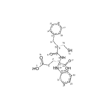 O=C(O)CC[C@@](NC(=O)[C@@H](CS)Cc1ccccc1)(Nc1ccccc1)C(=O)O